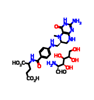 CN1c2c(nc(N)[nH]c2=O)NC[C@@H]1CNc1ccc(C(=O)NC(CCC(=O)O)C(=O)O)cc1.N[C@@H](C=O)[C@@H](O)[C@@H](O)[C@H](O)CO